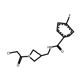 O=C(NCC1CN(C(=O)CCl)C1)c1ccc(F)cc1